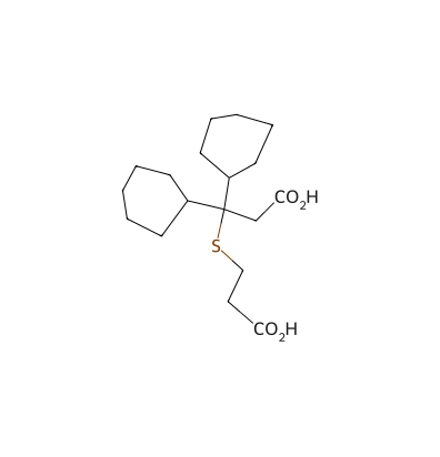 O=C(O)CCSC(CC(=O)O)(C1CCCCC1)C1CCCCC1